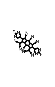 N#CC(C#N)=C1C(c2cnc(F)nc2)=C(C#N)c2c(C#N)c3c(c(C#N)c21)C(=C(C#N)C#N)C(c1cnc(F)nc1)=C3C#N